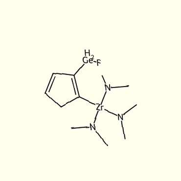 C[N](C)[Zr]([C]1=[C]([GeH2][F])C=CC1)([N](C)C)[N](C)C